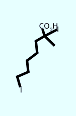 CC(I)(CCCCCI)C(=O)O